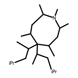 CC(C)CC(C)C1(C(C)CC(C)C)C(C)CC(C)N(C)C(C)CC1C